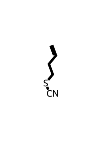 C=CCCSC#N